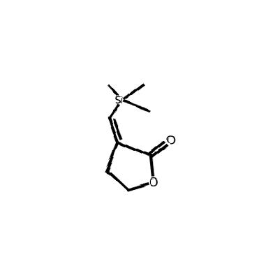 C[Si](C)(C)C=C1CCOC1=O